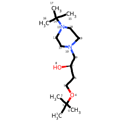 CC(C)(C)OCC[C@@H](O)CN1CCN(C(C)(C)C)CC1